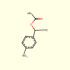 CCCCC(=O)OC([C]=O)c1ccc([N+](=O)[O-])cc1